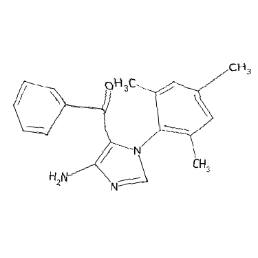 Cc1cc(C)c(-n2cnc(N)c2C(=O)c2ccccc2)c(C)c1